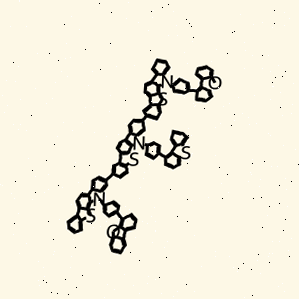 c1ccc2c(c1)oc1c(-c3ccc(-n4c5cc(-c6ccc7sc8c(ccc9c%10ccc(-c%11ccc%12sc%13c(ccc%14c%15ccccc%15n(-c%15ccc(-c%16cccc%17oc%18ccccc%18c%16%17)cc%15)c%14%13)c%12c%11)cc%10n(-c%10ccc(-c%11cccc%12sc%13ccccc%13c%11%12)cc%10)c98)c7c6)ccc5c5ccc6c7ccccc7sc6c54)cc3)cccc12